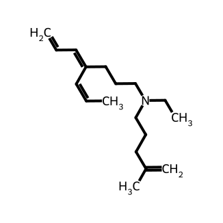 C=C/C=C(\C=C/C)CCCN(CC)CCCC(=C)C